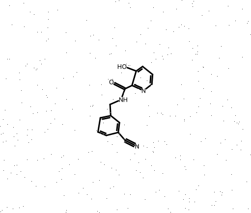 N#Cc1cccc(CNC(=O)c2ncccc2O)c1